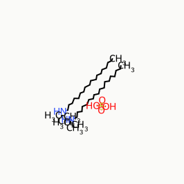 CCCCCCCCCCCCCCCCCCNC(C)(C)C.CCCCCCCCCCCCCCCCCCNC(C)(C)C.O=S(=O)(O)O